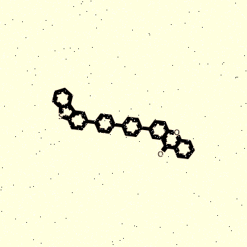 O=c1c2ccccc2oc2ccc(-c3ccc(-c4ccc(-c5ccc6sc7ccccc7c6c5)cc4)cc3)cc12